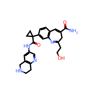 NC(=O)C1=Cc2ccc(C3(C(=O)Nc4cnc5c(c4)CNCC5)CC3)cc2N=C(CCO)C1